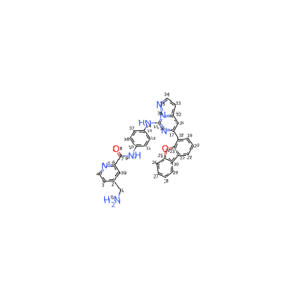 NCc1ccnc(C(=O)Nc2ccc(Nc3nc(-c4cccc5c4oc4ccccc45)cc4ccnn34)cc2)c1